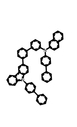 c1ccc(-c2ccc(N(c3cccc(-c4cccc(-c5ccc6c(c5)c5ccccc5n6-c5ccc(-c6ccccc6)cc5)c4)c3)c3ccc4ccccc4c3)cc2)cc1